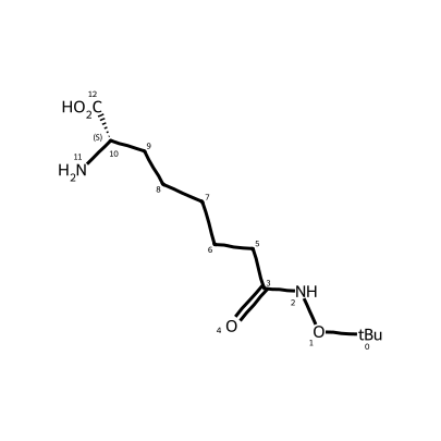 CC(C)(C)ONC(=O)CCCCC[C@H](N)C(=O)O